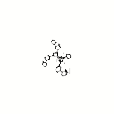 Cc1ccccc1-c1cc(-c2cc(-c3ccc4sc5ccccc5c4c3)cc(-c3ccc4sc5ccccc5c4c3)c2)nc(-c2cccc(-c3cccnc3)c2)n1